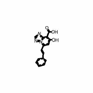 O=C(O)c1c(O)cc(C=Cc2ccccc2)n2ncnc12